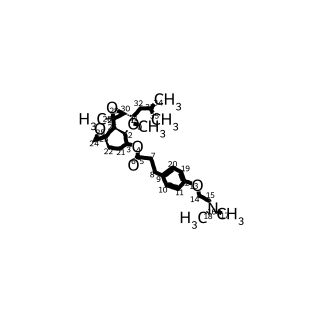 CO[C@@H]1C(OC(=O)CCc2ccc(OCCN(C)C)cc2)CC[C@]2(CO2)[C@H]1[C@@]1(C)O[C@@H]1CCC(C)C